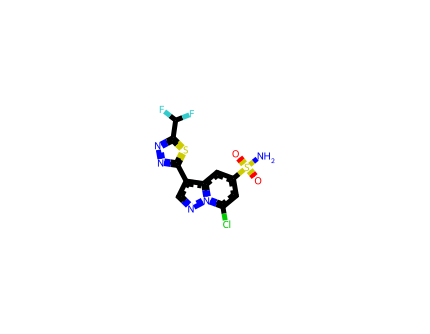 NS(=O)(=O)c1cc(Cl)n2ncc(-c3nnc(C(F)F)s3)c2c1